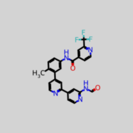 Cc1ccc(NC(=O)c2ccnc(C(F)(F)F)c2)cc1-c1ccnc(-c2ccnc(NC=O)c2)c1